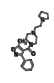 Cc1onc(-c2ccccc2)c1C(=O)N1CCN(CCN2CCCC2)CC1